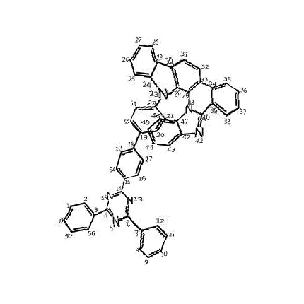 c1ccc(-c2nc(-c3ccccc3)nc(-c3ccc(-c4ccc(-n5c6ccccc6c6ccc7c8ccccc8c8nc9ccccc9n8c7c65)cc4)cc3)n2)cc1